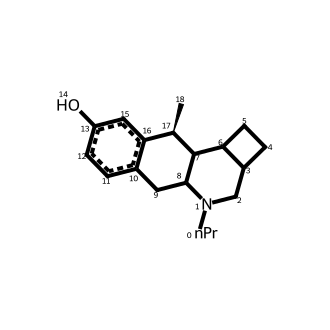 CCCN1CC2CCC2C2C1Cc1ccc(O)cc1[C@H]2C